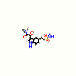 CNS(=O)(=O)CCc1ccc2[nH]cc(C(=O)C(=O)N(C)C)c2c1